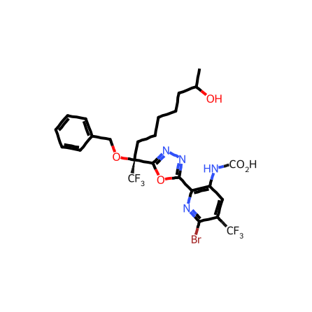 CC(O)CCCCC[C@@](OCc1ccccc1)(c1nnc(-c2nc(Br)c(C(F)(F)F)cc2NC(=O)O)o1)C(F)(F)F